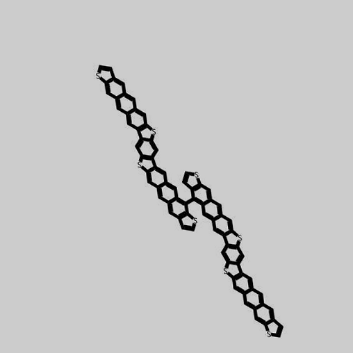 c1cc2cc3cc4cc5c(cc4cc3cc2s1)sc1cc2c(cc15)sc1cc3cc4cc5sccc5c(-c5c6cc7cc8c(cc7cc6cc6ccsc56)sc5cc6c(cc58)sc5cc7cc8cc9ccsc9cc8cc7cc56)c4cc3cc12